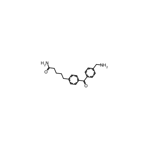 NCc1ccc(C(=O)c2ccc(CCCCC(N)=O)cc2)cc1